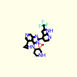 CO[C@@H]1CNCC[C@@H]1Nc1nc(-c2ccnc3[nH]c(C(F)(F)F)cc23)nc2cncc(C3CC3)c12